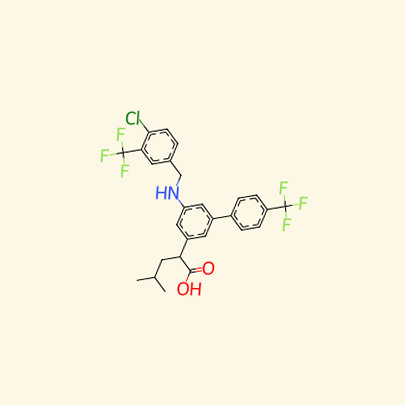 CC(C)CC(C(=O)O)c1cc(NCc2ccc(Cl)c(C(F)(F)F)c2)cc(-c2ccc(C(F)(F)F)cc2)c1